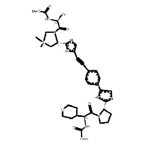 COC(=O)N[C@H](C(=O)N1C[Si](C)(C)C[C@H]1c1ncc(C#Cc2ccc(-c3cnc([C@@H]4CCCN4C(=O)[C@@H](NC(=O)OC)C4CCOCC4)[nH]3)cc2)[nH]1)C(C)C